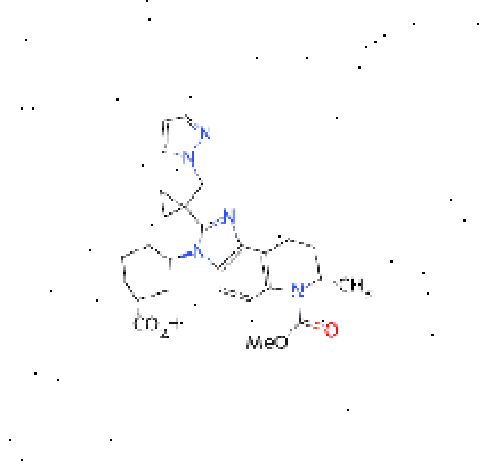 COC(=O)N1c2ccc3c(nc(C4(Cn5cccn5)CC4)n3[C@@H]3CCC[C@@H](C(=O)O)C3)c2CC[C@@H]1C